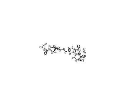 CC(C)[C@@H](C(=O)N1CCN(CCCOc2ccc(C(=O)C3CC3)cc2)CC1)N1CCCNC1=O